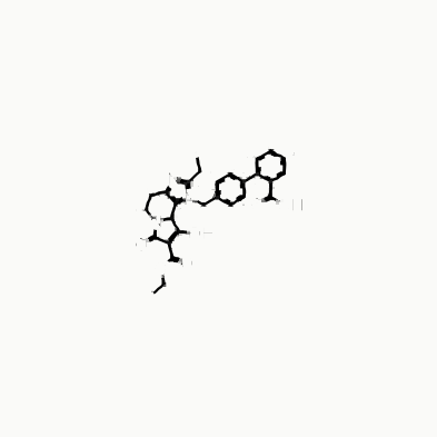 CCOC(=O)C1=C(O)C2c3c(nc(CC)n3Cc3ccc(-c4ccccc4C(=O)O)cc3)CCN2C1=O